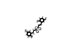 O=C(C=Cc1cc(F)ccc1F)OC(=O)CCc1cc(F)ccc1F